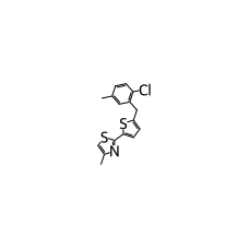 Cc1ccc(Cl)c(Cc2ccc(-c3nc(C)cs3)s2)c1